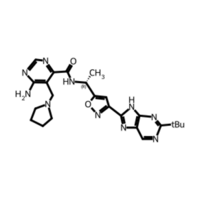 C[C@@H](NC(=O)c1ncnc(N)c1CN1CCCC1)c1cc(-c2nc3cnc(C(C)(C)C)nc3[nH]2)no1